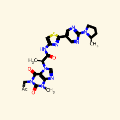 CC(=O)Cn1c(=O)c2c(ncn2[C@@H](C)C(=O)Nc2csc(-c3cnc(N4CCC[C@H]4C)nc3)n2)n(C)c1=O